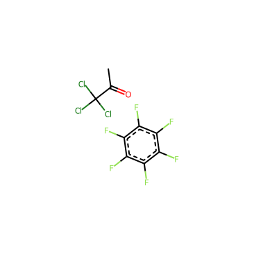 CC(=O)C(Cl)(Cl)Cl.Fc1c(F)c(F)c(F)c(F)c1F